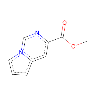 COC(=O)c1cc2cccn2cn1